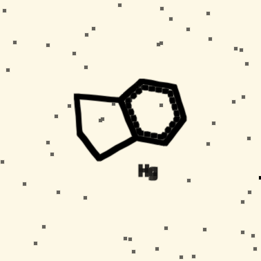 [Hg].c1ccc2c(c1)CCC2